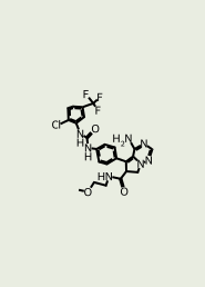 COCCNC(=O)C1CN2N=CN=C(N)C2=C1c1ccc(NC(=O)Nc2cc(C(F)(F)F)ccc2Cl)cc1